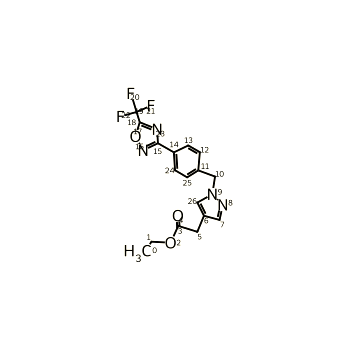 CCOC(=O)Cc1cnn(Cc2ccc(-c3noc(C(F)(F)F)n3)cc2)c1